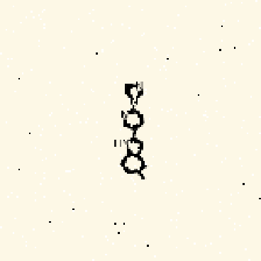 Cc1ccc2[nH]c(-c3ccc(-n4ccnc4)nc3)cc2c1